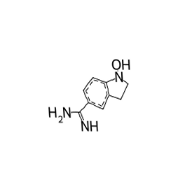 N=C(N)c1ccc2c(c1)CCN2O